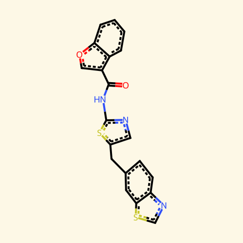 O=C(Nc1ncc(Cc2ccc3ncsc3c2)s1)c1coc2ccccc12